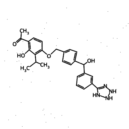 CC(=O)c1ccc(OCc2ccc(C(O)c3cccc(C4=NNNN4)c3)cc2)c(C(C)C)c1O